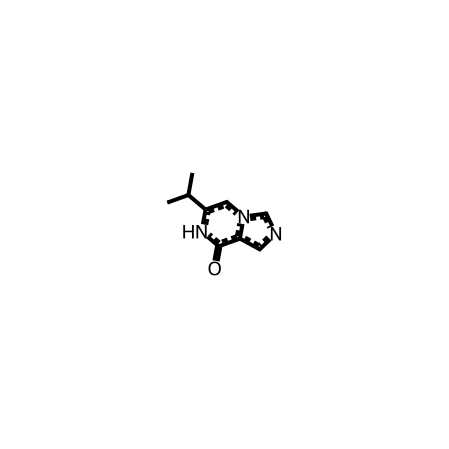 CC(C)c1cn2cncc2c(=O)[nH]1